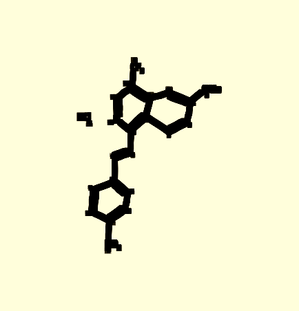 COc1ccc2c(/C=C/c3ccc([N+](=O)[O-])cc3)ncc(C(F)(F)F)c2c1.Cl